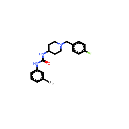 O=C(Nc1cccc(C(F)(F)F)c1)NC1CCN(Cc2ccc(F)cc2)CC1